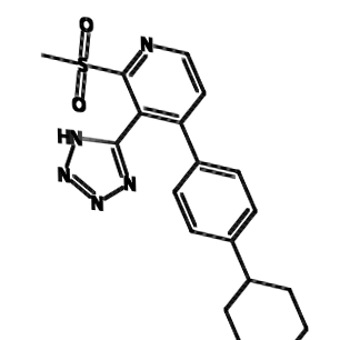 CS(=O)(=O)c1nccc(-c2ccc(C3CCNCC3)cc2)c1-c1nnn[nH]1